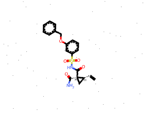 C=C[C@@H]1C[C@@]1(C(N)=O)C(=O)NS(=O)(=O)c1cccc(OCc2ccccc2)c1